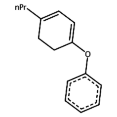 CCCC1=CC=C(Oc2ccccc2)CC1